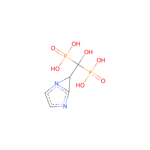 O=P(O)(O)C(O)(C1c2nccn21)P(=O)(O)O